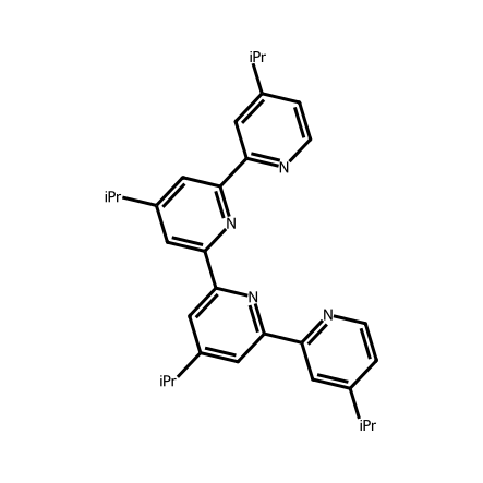 CC(C)c1ccnc(-c2cc(C(C)C)cc(-c3cc(C(C)C)cc(-c4cc(C(C)C)ccn4)n3)n2)c1